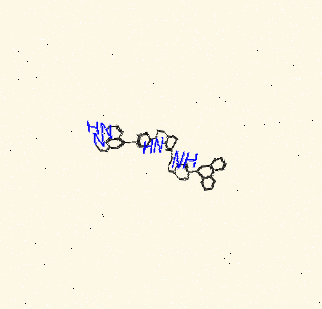 C1=Cc2c(-c3ccc(C4C=Cc5ccc(C6=CC=C7C=CC(c8cc9ccccc9c9ccccc89)=CC7N6)cc5N4)cc3)cc3cccnc3c2NC1